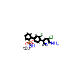 CC(C)(C)NS(=O)(=O)c1ccccc1-c1ccc(-c2cnc(N)c(Cl)c2)c(F)c1